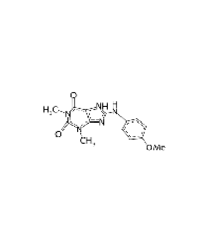 COc1ccc(Nc2nc3c([nH]2)c(=O)n(C)c(=O)n3C)cc1